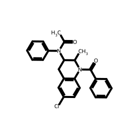 CC(=O)N(c1ccccc1)C1Cc2cc(Cl)ccc2N(C(=O)c2ccccc2)C1C